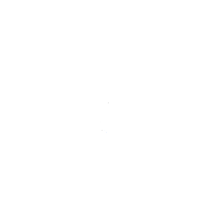 CCOC(=O)C=C(C)NC(=S)Cc1ccc(C(F)(F)F)c(Cl)c1